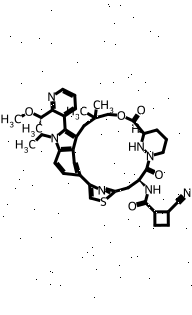 CCn1c(-c2cccnc2[C@H](C)OC)c2c3cc(ccc31)-c1csc(n1)C[C@H](NC(=O)C1CCC1C#N)C(=O)N1CCC[C@H](N1)C(=O)OCC(C)(C)C2